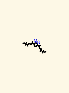 CCC(C)(C)/C(C)=C/C=C(\C)C1=CC=C(/C(C)=C/C=C(\C)C(C)(C)CC)C(=N/C)/C1=N\C